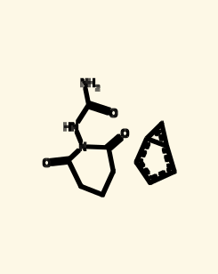 NC(=O)NN1C(=O)CCCC1=O.c1cc2cc-2c1